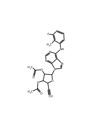 C#CC1OC(n2cnc3c(Nc4cccc(F)c4C)ncnc32)C(OC(C)=O)C1OC(C)=O